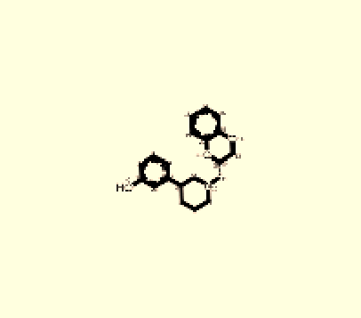 Oc1cccc(C2CCCN(C[C@H]3COc4ccccc4O3)C2)c1